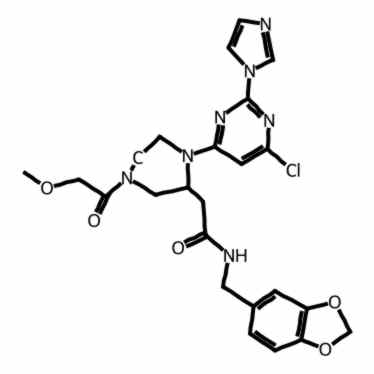 COCC(=O)N1CCN(c2cc(Cl)nc(-n3ccnc3)n2)C(CC(=O)NCc2ccc3c(c2)OCO3)C1